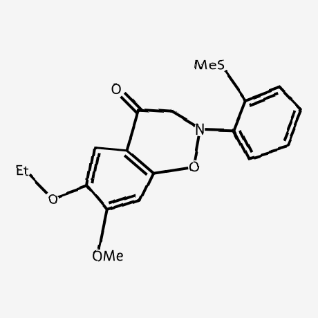 CCOc1cc2c(cc1OC)ON(c1ccccc1SC)CC2=O